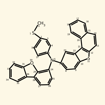 CSc1ccc(N(c2ccc3sc4ccc5ccccc5c4c3c2)c2cccc3c2oc2ccccc23)cc1